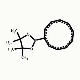 CC1(C)OB(c2ccccccccc2)OC1(C)C